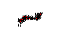 CC[C@@H](C1CCN(CCNC(=O)CCOCCNc2cccc3c2C(=O)N(C2CCC(=O)NC2=O)C3=O)CC1)n1c(C)c(C(=O)NCc2c(C)cc(C)[nH]c2=O)c2ccccc21